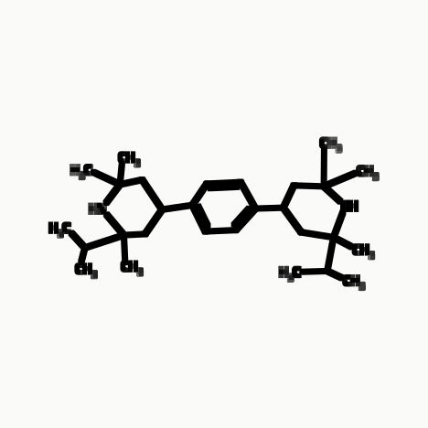 CC(C)C1(C)CC(c2ccc(C3CC(C)(C)NC(C)(C(C)C)C3)cc2)CC(C)(C)N1